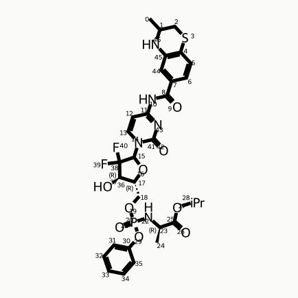 CC1CSc2ccc(C(=O)Nc3ccn(C4O[C@H](COP(=O)(N[C@H](C)C(=O)OC(C)C)Oc5ccccc5)[C@@H](O)C4(F)F)c(=O)n3)cc2N1